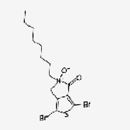 CCCCCCCC[N+]1([O-])Cc2c(Br)sc(Br)c2C1=O